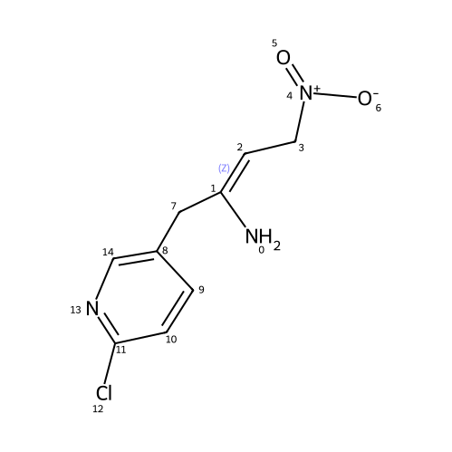 N/C(=C\C[N+](=O)[O-])Cc1ccc(Cl)nc1